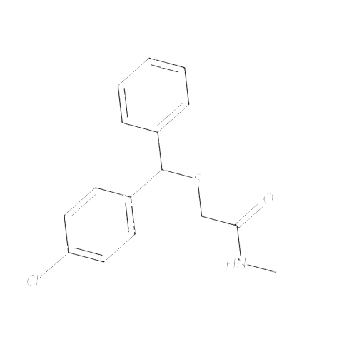 CNC(=O)CSC(c1ccccc1)c1ccc(Cl)cc1